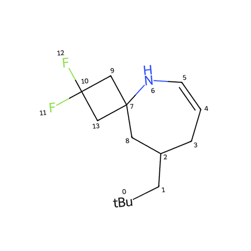 CC(C)(C)CC1CC=CNC2(C1)CC(F)(F)C2